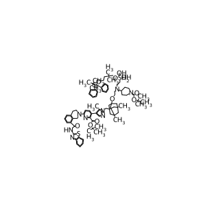 Cc1c(-c2ccc(N3CCc4cccc(C(=O)Nc5nc6ccccc6s5)c4C3)nc2C(=O)OC(C)(C)C)cnn1CC12CC3(C)CC(C)(C1)CC(OCCN(CC[SH2](O)(O)OCC(C)(C)CCO[Si](c1ccccc1)(c1ccccc1)C(C)(C)C)C1CCN(C(=O)OC(C)(C)C)CC1)(C3)C2